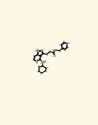 O=C(CCc1n[nH]c2ccnc(NC3CCCCC3)c12)NCc1ccncc1